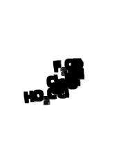 CN(Cc1cccc(C(F)(F)F)c1)C(=O)c1noc(-c2cc(Cl)c(OCC(=O)O)c(Cl)c2)n1